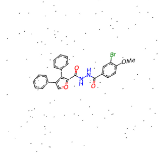 COc1ccc(C(=O)NNC(=O)c2occ(-c3ccccc3)c2-c2ccccc2)cc1Br